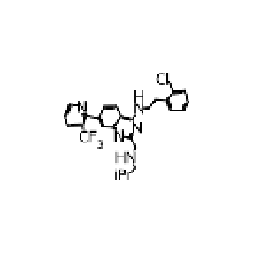 CC(C)CNCc1nc(NCCc2ccccc2Cl)c2ccc(-c3ncccc3C(F)(F)F)cc2n1